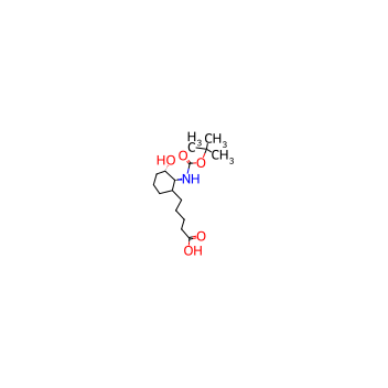 CC(C)(C)OC(=O)N[C@H]1C(CCCCC(=O)O)CCC[C@@H]1O